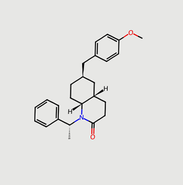 COc1ccc(C[C@@H]2CC[C@@H]3[C@@H](CCC(=O)N3[C@H](C)c3ccccc3)C2)cc1